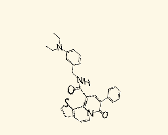 CCN(CC)c1cccc(CNC(=O)c2cc(-c3ccccc3)c(=O)n3ccc4ccsc4c23)c1